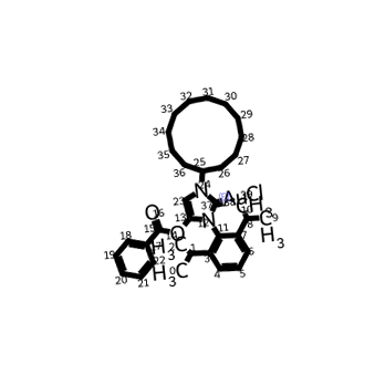 CC(C)c1cccc(C(C)C)c1-n1c(OC(=O)c2ccccc2)cn(C2CCCCCCCCCCC2)/[c]1=[Au]\[Cl]